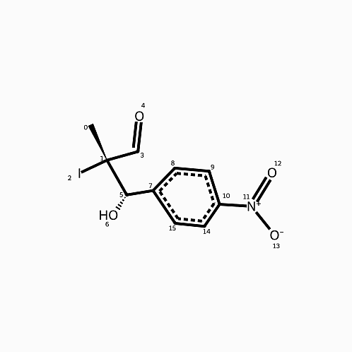 C[C@@](I)(C=O)[C@@H](O)c1ccc([N+](=O)[O-])cc1